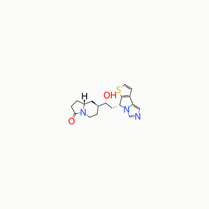 O=C1CC[C@@H]2C[C@@H]([C@H](O)C[C@@H]3c4sccc4-c4cncn43)CCN12